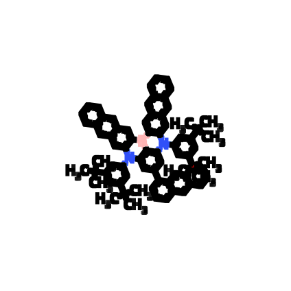 CC(C)(C)c1cc(N2c3cc4cc5ccccc5cc4cc3B3c4cc5cc6ccccc6cc5cc4N(c4cc(C(C)(C)C)cc(C(C)(C)C)c4)c4cc(-c5cccc6cc7ccccc7cc56)cc2c43)cc(C(C)(C)C)c1